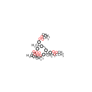 CC(C)(C)OC(=O)Oc1ccc(C(C)(c2ccc(Cc3ccc(C(C)(c4ccc(OC(=O)OC(C)(C)C)cc4)c4ccc(OC(=O)OC(C)(C)C)cc4)cc3)cc2)c2ccc(OC(=O)OC(C)(C)C)cc2)cc1